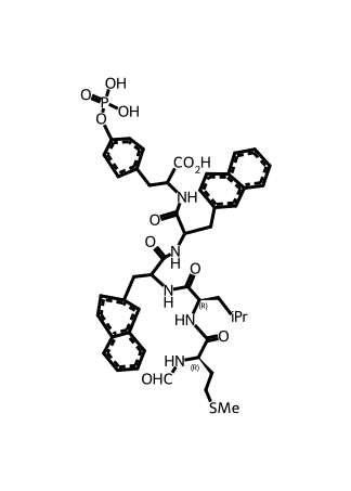 CSCC[C@@H](NC=O)C(=O)N[C@H](CC(C)C)C(=O)NC(Cc1ccc2ccccc2c1)C(=O)NC(Cc1ccc2ccccc2c1)C(=O)NC(Cc1ccc(OP(=O)(O)O)cc1)C(=O)O